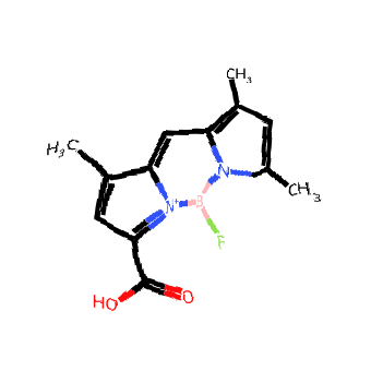 CC1=CC(C(=O)O)=[N+]2B(F)n3c(C)cc(C)c3C=C12